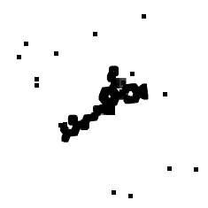 CC(C)CC(=O)OCCSNc1ccc(NC=O)c(N2CCC3(CC2)CC3)c1